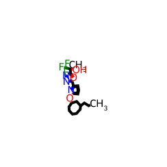 CCCC1CCCCCC(Oc2cccc(-c3nnc(C(C)(O)C(F)(F)F)o3)n2)C1